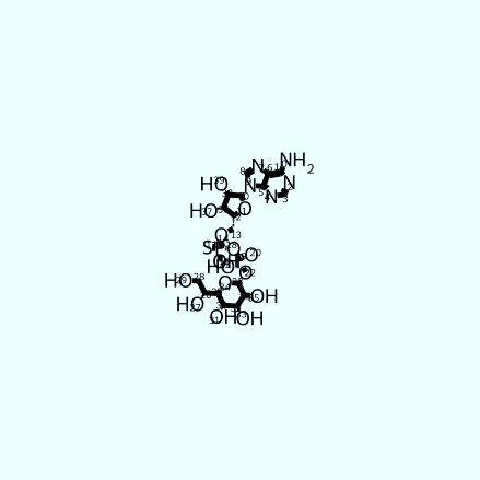 Nc1ncnc2c1ncn2[C@@H]1O[C@H](COP(O)(=S)OP(=O)(O)O[C@@H]2OC([C@H](O)CO)[C@@H](O)[C@H](O)C2O)[C@H](O)C1O